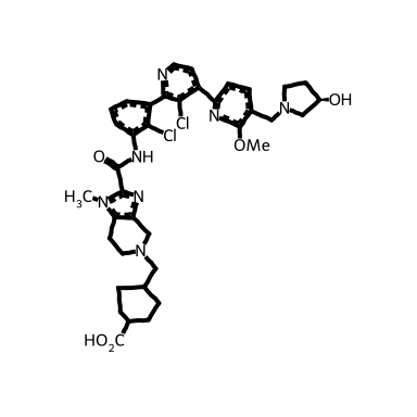 COc1nc(-c2ccnc(-c3cccc(NC(=O)c4nc5c(n4C)CCN(CC4CCC(C(=O)O)CC4)C5)c3Cl)c2Cl)ccc1CN1CC[C@@H](O)C1